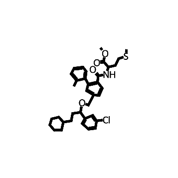 COC(=O)C(CCSC)NC(=O)c1ccc(COC(CCC2CCCCC2)c2cccc(Cl)c2)cc1-c1ccccc1C